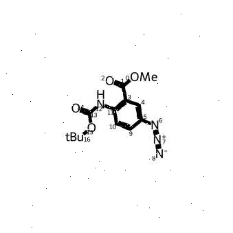 COC(=O)c1cc(N=[N+]=[N-])ccc1NC(=O)OC(C)(C)C